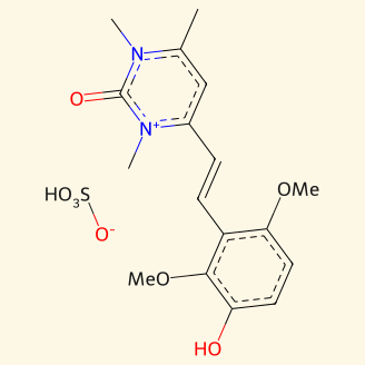 COc1ccc(O)c(OC)c1C=Cc1cc(C)n(C)c(=O)[n+]1C.O=S(=O)([O-])O